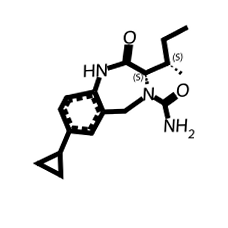 CC[C@H](C)[C@H]1C(=O)Nc2ccc(C3CC3)cc2CN1C(N)=O